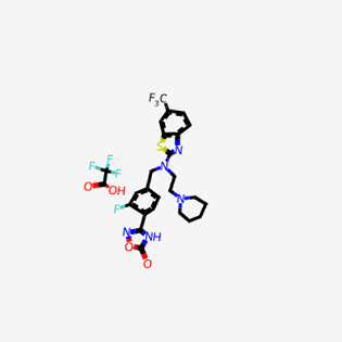 O=C(O)C(F)(F)F.O=c1[nH]c(-c2ccc(CN(CCN3CCCCC3)c3nc4ccc(C(F)(F)F)cc4s3)cc2F)no1